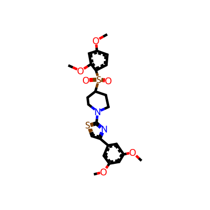 COc1cc(OC)cc(-c2csc(N3CCC(S(=O)(=O)c4ccc(OC)cc4OC)CC3)n2)c1